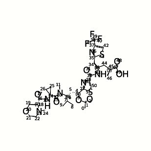 CC(=O)O[C@H](C[C@H](C(C)C)N(C)C(=O)C1(NC(=O)[C@H]2COCCN2C)CC1)c1nc(C(=O)N[C@@H](Cc2nc(C(F)(F)F)cs2)C[C@H](C)C(=O)O)cs1